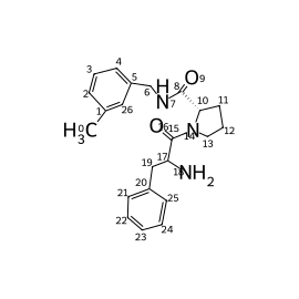 Cc1cccc(CNC(=O)[C@@H]2CCCN2C(=O)C(N)Cc2ccccc2)c1